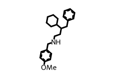 COc1ccc(CNCCC(Cc2ccccc2)C2CCCCC2)cc1